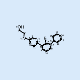 OCCNc1cnc(-c2cccc(-c3ccccc3)c2F)cn1